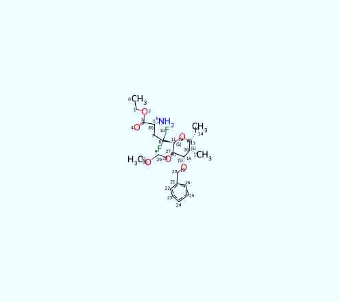 CCOC(=O)[C@H](N)CC(F)(F)[C@H]1O[C@H](CC)[C@H](C)[C@H](OCc2ccccc2)[C@H]1OCOC